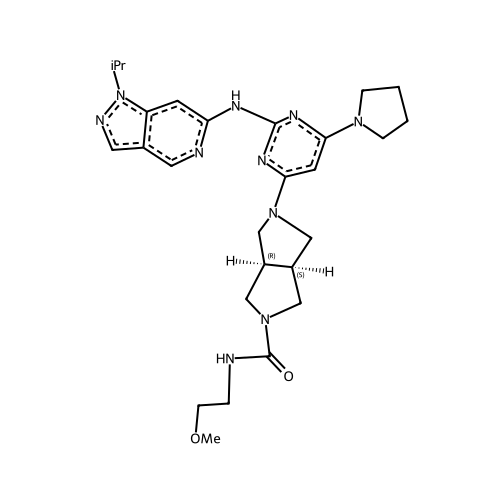 COCCNC(=O)N1C[C@@H]2CN(c3cc(N4CCCC4)nc(Nc4cc5c(cn4)cnn5C(C)C)n3)C[C@@H]2C1